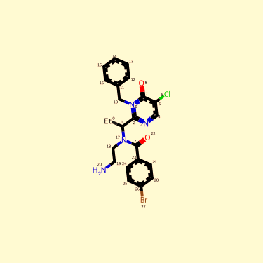 CCC(c1ncc(Cl)c(=O)n1Cc1ccccc1)N(CCN)C(=O)c1ccc(Br)cc1